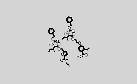 CC[C@H](C)[C@H](NC(=O)OCc1ccccc1)C(=O)OCCOc1ccc(C(=O)O)c(CI)c1.CC[C@H](C)[C@H](NC(=O)OCc1ccccc1)C(=O)OCc1ccc(C(=O)OCI)o1